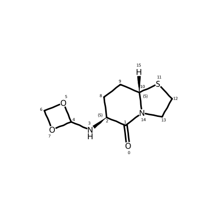 O=C1[C@@H](NC2OCO2)CC[C@@H]2SCCN12